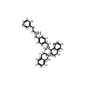 c1cncc(CCNCc2ccc(CN(C[C@H]3Cc4ccccc4CN3)[C@H]3CCCc4cccnc43)cc2)c1